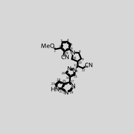 COCc1cccc(N2CCC(C(CC#N)n3cc(-c4ncnc5[nH]ccc45)cn3)C2)c1C#N